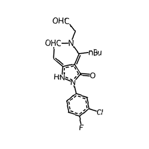 C/C=c1/[nH]n(-c2ccc(F)c(Cl)c2)c(=O)/c1=C(\CCCC)N(C=O)CC=O